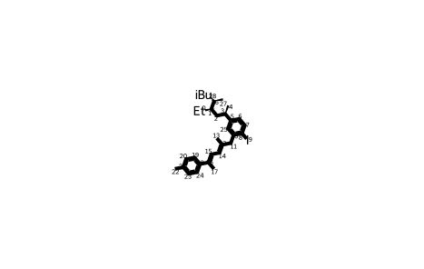 CC[C@H](C[C@@H](C)c1ccc(I)c(C/C(C)=C/C=C(\C)c2ccc(C)cc2)c1)[C@H](C)[C@H](C)CC